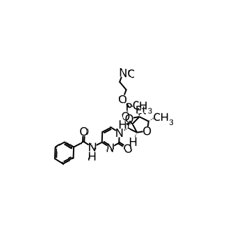 [C-]#[N+]CCOP(C)O[C@H]1[C@H]2O[C@@H](C)[C@]1(CC)O[C@H]2n1ccc(NC(=O)c2ccccc2)nc1=O